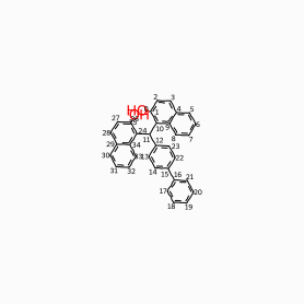 Oc1ccc2ccccc2c1C(c1ccc(-c2ccccc2)cc1)c1c(O)ccc2ccccc12